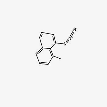 Cc1cccc2cccc(N=[N+]=[N-])c12